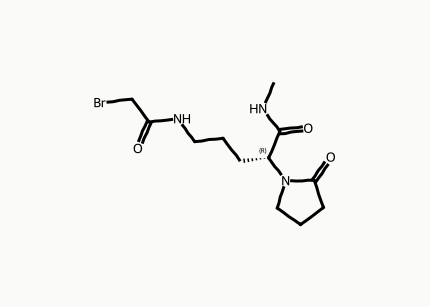 CNC(=O)[C@@H](CCCNC(=O)CBr)N1CCCC1=O